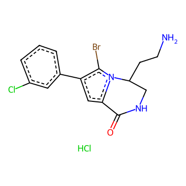 Cl.NCCC1CNC(=O)c2cc(-c3cccc(Cl)c3)c(Br)n21